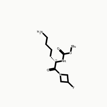 CC(C)(C)OC(=O)N[C@@H](CCCCN)C(=O)N1CC(F)C1